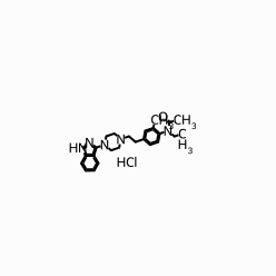 CCN(C(C)=O)c1ccc(CCN2CCN(c3n[nH]c4ccccc34)CC2)cc1C.Cl